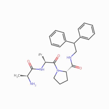 CC(C)[C@H](NC(=O)[C@H](C)N)C(=O)N1CCC[C@H]1C(=O)NCC(c1ccccc1)c1ccccc1